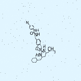 CCCCC(CC1CCCCC1)NC(=N)N(C=O)Cc1ccc(CNC(=O)Nc2ccc(C#N)cc2)cc1